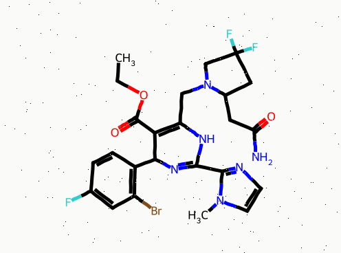 CCOC(=O)C1=C(CN2CC(F)(F)CC2CC(N)=O)NC(c2nccn2C)=NC1c1ccc(F)cc1Br